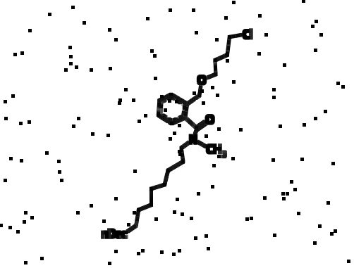 CCCCCCCCCCCCCCCCCCN(C)C(=O)c1ccccc1COCCCCCl